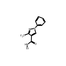 CCNC(=O)c1cn(-c2ccccc2)nc1C(F)(F)F